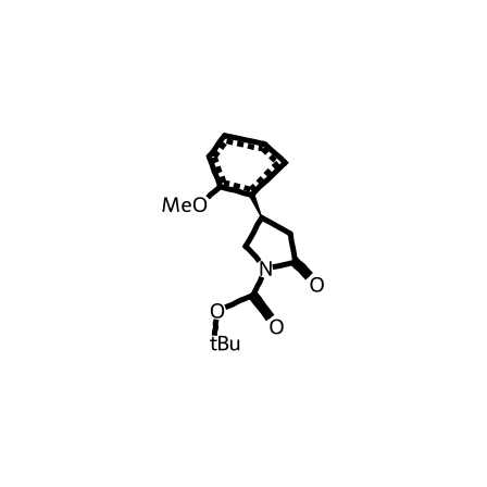 COc1ccccc1[C@H]1CC(=O)N(C(=O)OC(C)(C)C)C1